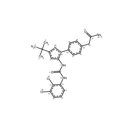 CC(C)(C)c1cc(NC(=O)Nc2cccc(Cl)c2Cl)n(-c2ccc(CC(N)=O)cc2)n1